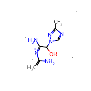 C=C(N)/N=C(/N)C(O)n1cnc(C(F)(F)F)n1